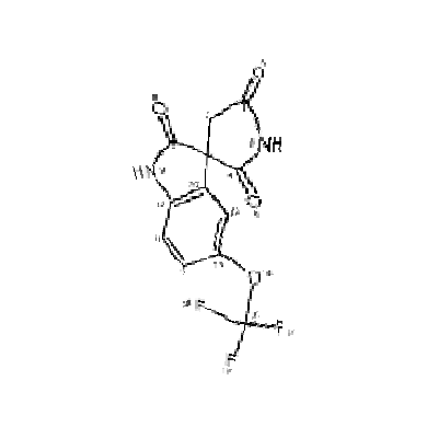 O=C1CC2(C(=O)N1)C(=O)Nc1ccc(OC(F)(F)F)cc12